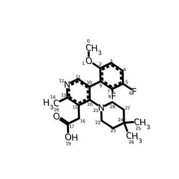 COc1ccc(F)c(F)c1-c1cnc(C)c(CC(=O)O)c1N1CCC(C)(C)CC1